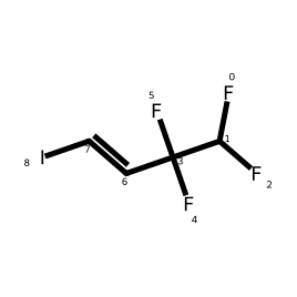 FC(F)C(F)(F)C=CI